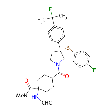 CNC(=O)C1(NC=O)CCC(C(=O)N2CC[C@@](Sc3ccc(F)cc3)(c3ccc(C(F)(C(F)(F)F)C(F)(F)F)cc3)C2)CC1